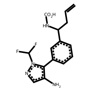 C=CCC(NC(=O)O)c1cccc(-c2c(N)cnn2C(F)F)c1